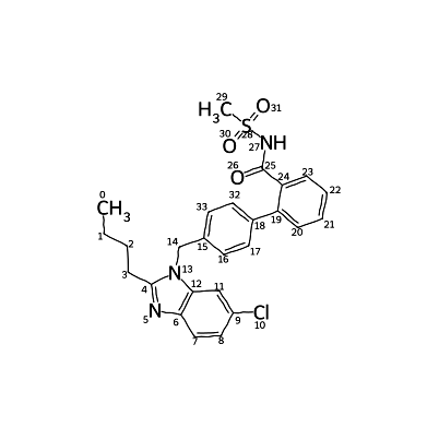 CCCCc1nc2ccc(Cl)cc2n1Cc1ccc(-c2ccccc2C(=O)NS(C)(=O)=O)cc1